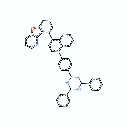 c1ccc(C2N=C(c3ccc(-c4ccc(-c5cccc6oc7cccnc7c56)c5ccccc45)cc3)NC(c3ccccc3)N2)cc1